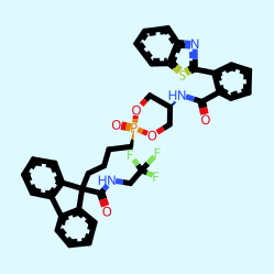 O=C(N[C@H]1CO[P@](=O)(CCCCC2(C(=O)NCC(F)(F)F)c3ccccc3-c3ccccc32)OC1)c1ccccc1-c1nc2ccccc2s1